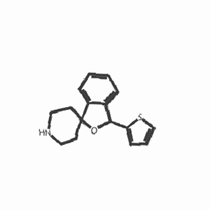 c1csc(C2OC3(CCNCC3)c3ccccc32)c1